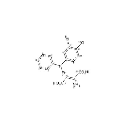 CCC(c1ccccc1)c1ccc(Cl)c(Cl)c1.N.O=C(O)C=CC(=O)O